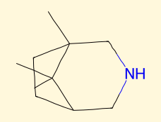 CC12CCC(CNC1)C2(C)C